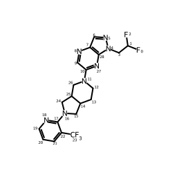 FC(F)Cn1ncc2ncc(N3CCC4CN(c5ncccc5C(F)(F)F)CC4C3)nc21